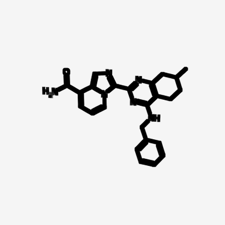 CC1CCc2c(nc(-c3ncc4c(C(N)=O)cccn34)nc2NCc2ccccc2)C1